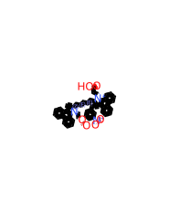 CC1(Cc2cccc([N+](=O)[O-])c2)C(/C=C/C=C/C=C2\N(CCOC=O)c3c(c4ccccc4c4ccccc34)C2(C)C)=[N+](CCC(=O)O)c2c1c1ccccc1c1ccccc21